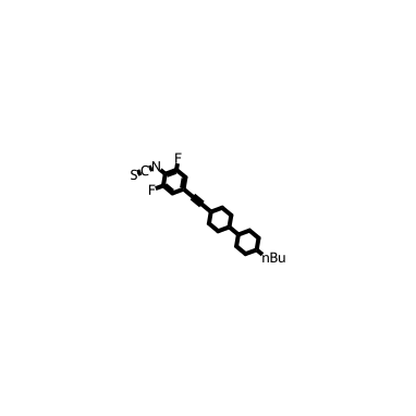 CCCCC1CCC(C2CCC(C#Cc3cc(F)c(N=C=S)c(F)c3)CC2)CC1